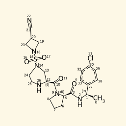 C[C@@H](NC(=O)[C@H]1CCCN1C(=O)[C@@H]1CN(S(=O)(=O)N2CC(C#N)C2)CCN1)c1ccc(Cl)cc1